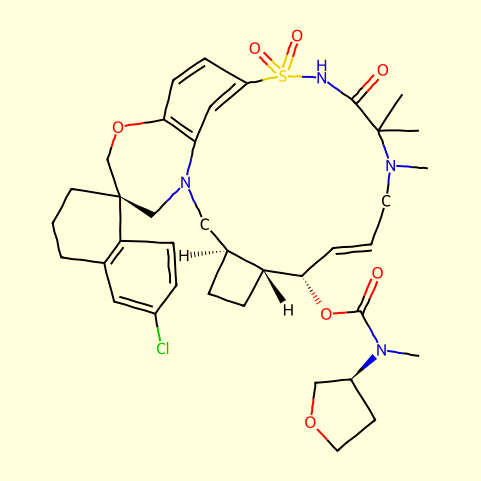 CN(C(=O)O[C@H]1/C=C/CN(C)C(C)(C)C(=O)NS(=O)(=O)c2ccc3c(c2)N(C[C@@H]2CC[C@H]21)C[C@@]1(CCCc2cc(Cl)ccc21)CO3)[C@H]1CCOC1